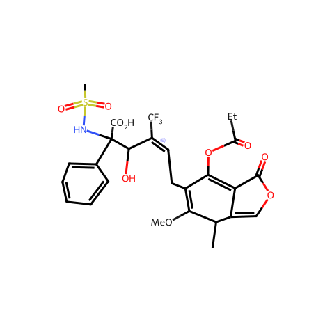 CCC(=O)OC1=C2C(=O)OC=C2C(C)C(OC)=C1C/C=C(\C(O)C(NS(C)(=O)=O)(C(=O)O)c1ccccc1)C(F)(F)F